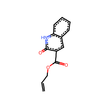 C=CCOC(=O)c1cc2ccccc2[nH]c1=O